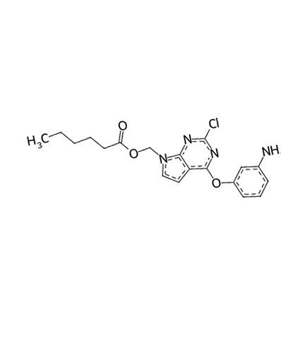 CCCCCC(=O)OCn1ccc2c(Oc3cccc(N)c3)nc(Cl)nc21